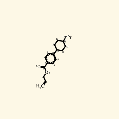 C=CCOC(=O)c1ccc(C2CCC(CCC)CC2)cc1